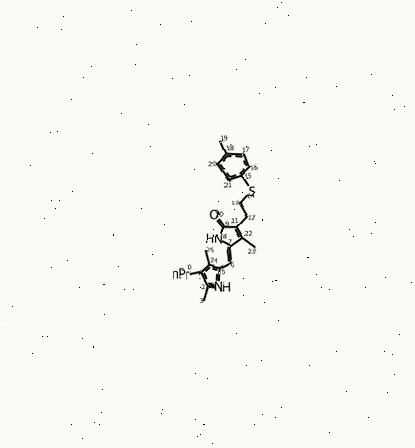 CCCc1c(C)[nH]c(/C=C2\NC(=O)C(CCSc3ccc(C)cc3)=C2C)c1C